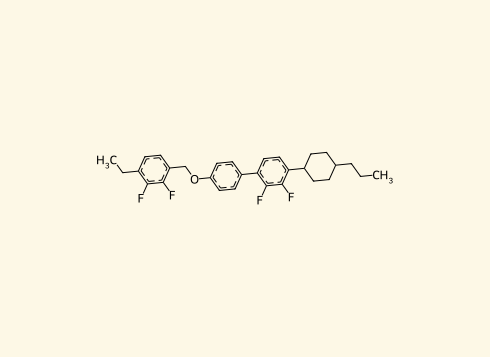 CCCC1CCC(c2ccc(-c3ccc(OCc4ccc(CC)c(F)c4F)cc3)c(F)c2F)CC1